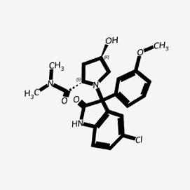 COc1cccc(C2(N3C[C@H](O)C[C@H]3C(=O)N(C)C)C(=O)Nc3ccc(Cl)cc32)c1